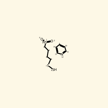 O=[SH](=O)CCCCSS.c1ccncc1